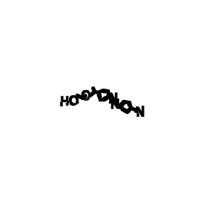 CC(COCCO)c1ccc(/N=N/c2ccc(C#N)cc2)cc1